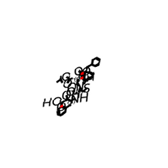 CC(C)(C)OC(=O)C[C@H](NC(=O)OCc1ccccc1)C(=O)N1C(c2ccccc2)SC[C@H]1C(=O)N[C@@H](Cc1ccccc1)C(O)C(=O)O